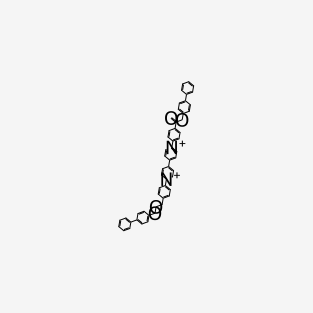 O=C(Oc1ccc(-c2ccccc2)cc1)c1ccc(-[n+]2ccc(-c3cc[n+](-c4ccc(COOc5ccc(-c6ccccc6)cc5)cc4)cc3)cc2)cc1